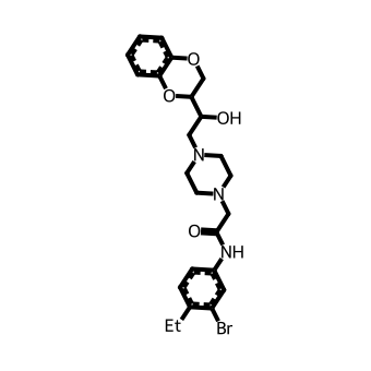 CCc1ccc(NC(=O)CN2CCN(CC(O)C3COc4ccccc4O3)CC2)cc1Br